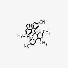 Cc1cc(C)c(-c2ccc(C#N)cc2)c(C(C)(C)c2cc(C)cc(C)c2-c2ccc(C#N)cc2)c1